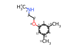 CNCCOc1cc(C)cc(C)c1